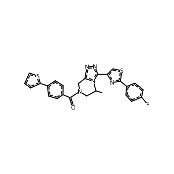 CC1CN(C(=O)c2ccc(-c3cccs3)cc2)Cc2nnc(-c3csc(-c4ccc(F)cc4)n3)n21